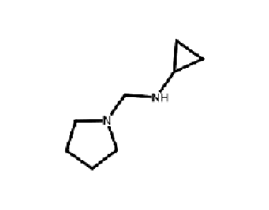 C1CCN(CNC2CC2)C1